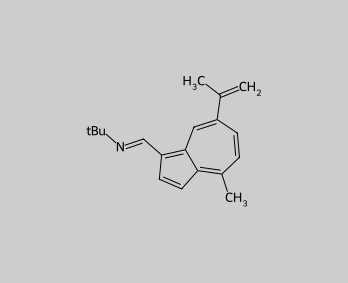 C=C(C)c1ccc(C)c2ccc(C=NC(C)(C)C)c-2c1